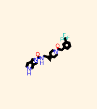 O=C(NCC1CC12CCN(C(=O)Cc1cccc(C(F)(F)F)c1)CC2)N1C=C2C=CNC=C2C1